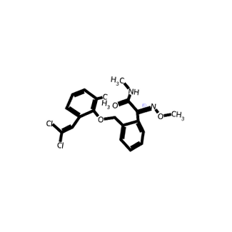 CNC(=O)/C(=N/OC)c1ccccc1COc1c(C)cccc1C=C(Cl)Cl